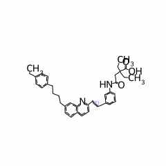 CCc1ccc(CCCCc2ccc3ccc(/C=C/c4cccc(NC(=O)CC(CC)(CC)C(=O)O)c4)nc3c2)cc1